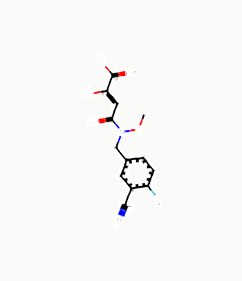 CON(Cc1ccc(F)c(C#N)c1)C(=O)/C=C(\O)C(=O)O